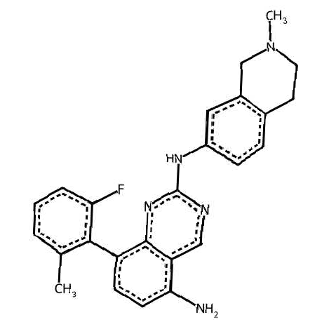 Cc1cccc(F)c1-c1ccc(N)c2cnc(Nc3ccc4c(c3)CN(C)CC4)nc12